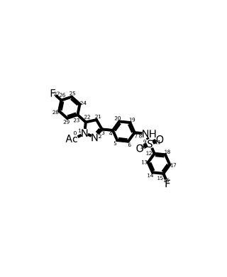 CC(=O)N1N=C(c2ccc(NS(=O)(=O)c3ccc(F)cc3)cc2)CC1c1ccc(F)cc1